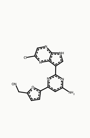 Nc1cc(-c2ccc(CN=O)o2)nc(-c2c[nH]c3ncc(Cl)nc23)n1